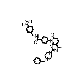 Cc1nc(N2CCN(Cc3ccccc3)CC2)nc2c1ccc(=O)n2-c1ccc(C(=O)NCc2ccc(S(C)(=O)=O)cc2)cc1